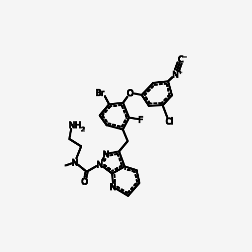 [C-]#[N+]c1cc(Cl)cc(Oc2c(Br)ccc(Cc3nn(C(=O)N(C)CCN)c4ncccc34)c2F)c1